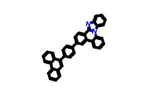 c1ccc2c(c1)cc(-c1ccc(-c3ccc4c(c3)c3ccccc3n3c5ccccc5nc43)cc1)c1ccccc12